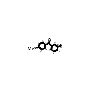 CSc1ccc(C(=O)c2cccc(Br)c2)cc1